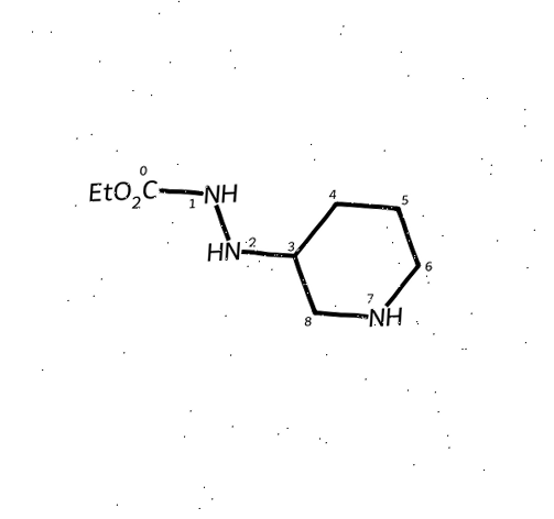 CCOC(=O)NNC1CCCNC1